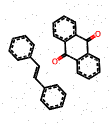 C(=Cc1ccccc1)c1ccccc1.O=C1c2ccccc2C(=O)c2ccccc21